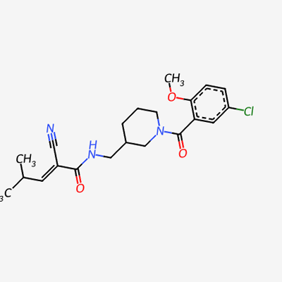 COc1ccc(Cl)cc1C(=O)N1CCCC(CNC(=O)/C(C#N)=C/C(C)C)C1